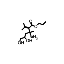 CCCOC(=O)C(=C(C)C)C(C)([SiH3])CC(O)CO